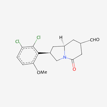 COc1ccc(Cl)c(Cl)c1[C@H]1C[C@H]2CC(C=O)CC(=O)N2C1